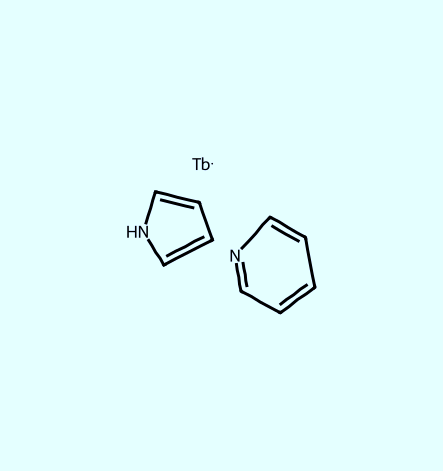 [Tb].c1cc[nH]c1.c1ccncc1